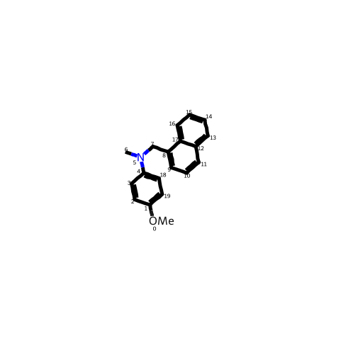 COc1ccc(N(C)Cc2cccc3ccccc23)cc1